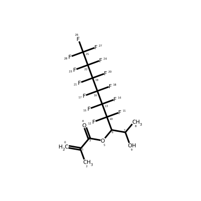 C=C(C)C(=O)OC(C(C)O)C(F)(F)C(F)(F)C(F)(F)C(F)(F)C(F)(F)C(F)(F)F